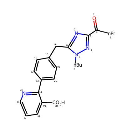 CCCCn1nc(C(=O)CCC)nc1Cc1ccc(-c2ncccc2C(=O)O)cc1